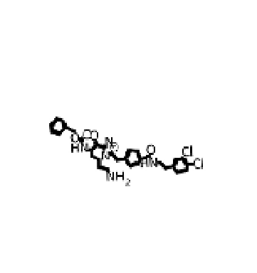 NCCCCC(NC(=O)OCc1ccccc1)C(=O)c1noc(Cc2ccc(C(=O)NCCc3ccc(Cl)c(Cl)c3)cc2)n1